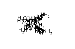 CC(C)(C)c1nc2nc(N)ncc2nc1CC(C)(C)c1nc2nc(N)ccc2nc1CC(C)(C)c1cnc2cnc(N)cc2n1